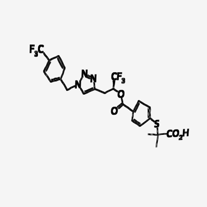 CC(C)(Sc1ccc(C(=O)O[C@@H](Cc2cn(Cc3ccc(C(F)(F)F)cc3)nn2)C(F)(F)F)cc1)C(=O)O